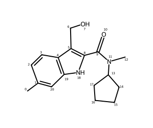 Cc1ccc2c(CO)c(C(=O)N(C)C3CCCC3)[nH]c2c1